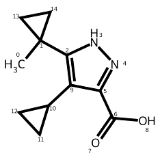 CC1(c2[nH]nc(C(=O)O)c2C2CC2)CC1